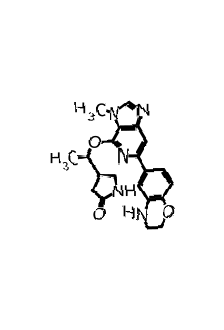 C[C@@H](Oc1nc(-c2ccc3c(c2)NCCO3)cc2ncn(C)c12)[C@H]1CNC(=O)C1